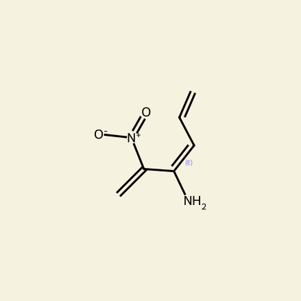 C=C/C=C(/N)C(=C)[N+](=O)[O-]